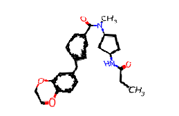 CCC(=O)NC1CC[C@H](N(C)C(=O)c2ccc(-c3ccc4c(c3)OCCO4)cc2)C1